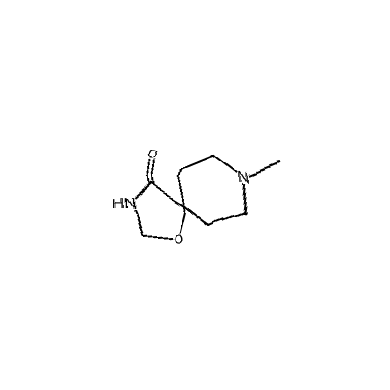 CN1CCC2(CC1)OCNC2=O